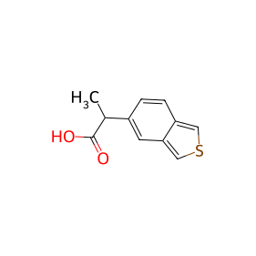 CC(C(=O)O)c1ccc2cscc2c1